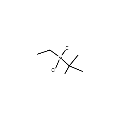 CC[Si](Cl)(Cl)C(C)(C)C